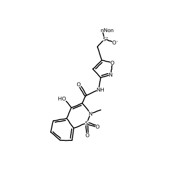 CCCCCCCCC[S+]([O-])Cc1cc(NC(=O)C2=C(O)c3ccccc3S(=O)(=O)N2C)no1